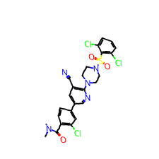 CN(C)C(=O)c1ccc(-c2cnc(N3CCN(S(=O)(=O)c4c(Cl)cccc4Cl)CC3)c(C#N)c2)cc1Cl